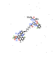 CNC(C)C(=O)NC(C(=O)N1CC(NC(=O)CCCCCCC#Cc2cnc(N)c3c(-c4ccc(NS(=O)(=O)C(F)F)c(OC(C)c5ccc(F)cc5)c4)nn(C)c23)C[C@H]1C(=O)Nc1c(F)cccc1F)C(C)(C)C